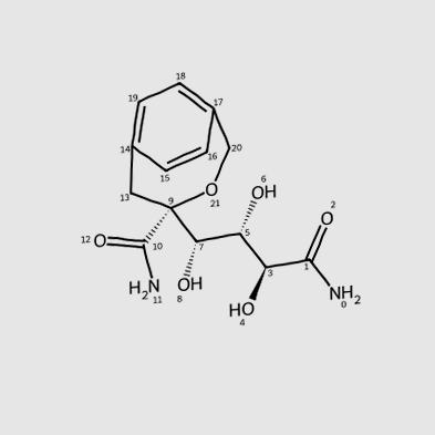 NC(=O)[C@@H](O)[C@@H](O)[C@H](O)[C@@]1(C(N)=O)Cc2ccc(cc2)CO1